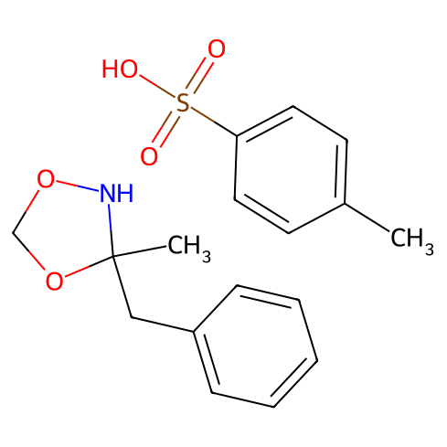 CC1(Cc2ccccc2)NOCO1.Cc1ccc(S(=O)(=O)O)cc1